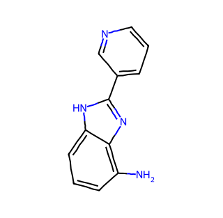 Nc1cccc2[nH]c(-c3cccnc3)nc12